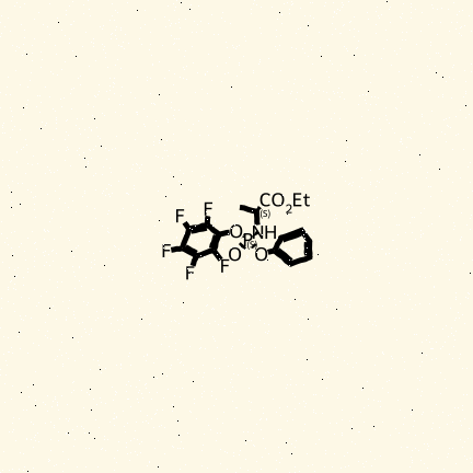 CCOC(=O)[C@H](C)N[P@](=O)(Oc1ccccc1)Oc1c(F)c(F)c(F)c(F)c1F